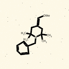 COC=C1CC(C)(C)N(Cc2ccccc2)C(C)(C)C1